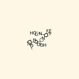 CCOc1ncccc1-c1ccc(C2(C(=O)O)CCN(c3ccc(C(F)(F)F)cc3C#N)CC2)cn1.[Li+].[OH-]